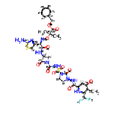 Cc1c(C(F)F)[nH]c(C(=O)NN2CCN(S(=O)(=O)NC(=O)N3CC(NC(=O)/C(=N\OC(C)(C)C(=O)OCc4ccccc4)c4csc(N)n4)C3=O)C2=O)cc1=O